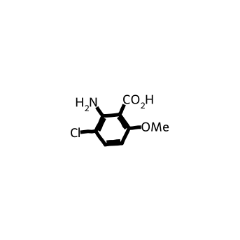 COc1ccc(Cl)c(N)c1C(=O)O